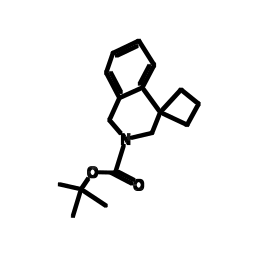 CC(C)(C)OC(=O)N1Cc2ccccc2C2(CCC2)C1